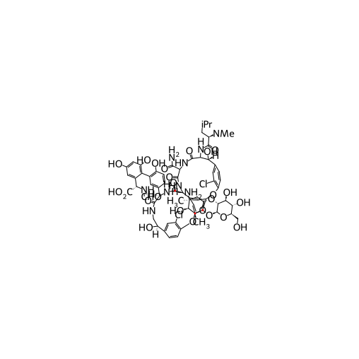 CN[C@H](CC(C)C)C(=O)NC1C(=O)NC(C(N)=O)C(=O)N[C@H]2C(=O)N[C@H](c3ccc(O)c(-c4c(O)cc(O)cc4[C@H](NC=O)C(=O)O)c3)C(=O)NC[C@H](O)c3ccc(c(Cl)c3)Oc3cc2cc(c3O[C@@H]2O[C@H](CO)[C@@H](O)[C@H](O)[C@H]2O[C@H]2C[C@](C)(N)[C@H](O)[C@H](C)O2)Oc2ccc(cc2Cl)[C@H]1O